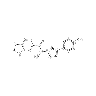 NN(C(=O)c1ccc2c(c1)OCO2)c1nc(-c2ccc([N+](=O)[O-])cc2)cs1